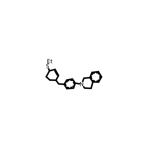 CCSC1C=CC(Cc2ccc(N3CCc4ccccc4C3)cc2)CC1